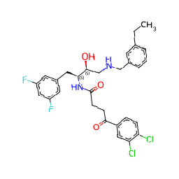 CCc1cccc(CNC[C@H](O)[C@H](Cc2cc(F)cc(F)c2)NC(=O)CCC(=O)c2ccc(Cl)c(Cl)c2)c1